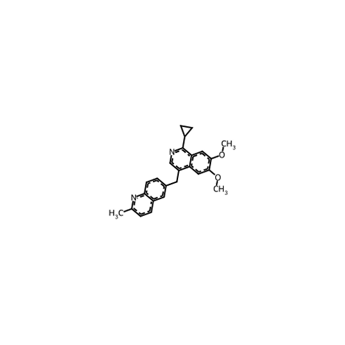 COc1cc2c(Cc3ccc4nc(C)ccc4c3)cnc(C3CC3)c2cc1OC